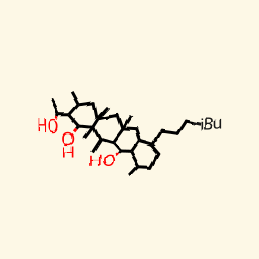 CCC(C)CCCC1CCC(C)C2C(O)C3C(C)C4(C)C(O)C(C(C)O)C(C)CC4(C)CC3(C)CC12